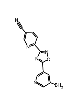 Bc1cncc(-c2nc(-c3ccc(C#N)cn3)no2)c1